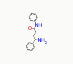 NC(CCC(=O)Nc1ccccc1)c1ccccc1